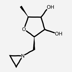 C[C@@H]1O[C@H](CN2CC2)C(O)C1O